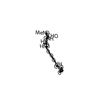 CNC(=O)CC(C=O)NC(=O)CNC(=O)C(C)NC(=O)CCOCCOCCOCCNC(=O)CCN1C(=O)C=CC1=O